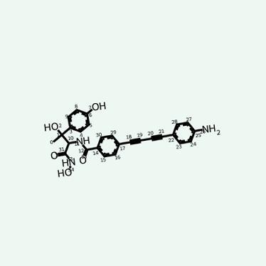 CC(O)(c1ccc(O)cc1)C(NC(=O)c1ccc(C#CC#Cc2ccc(N)cc2)cc1)C(=O)NO